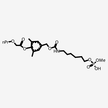 CCCOCC(=O)Oc1c(C)cc(COC(=O)NCCCCCCOP(=O)(O)OC)cc1C